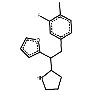 Cc1ccc(CC(c2ccco2)C2CCCN2)cc1F